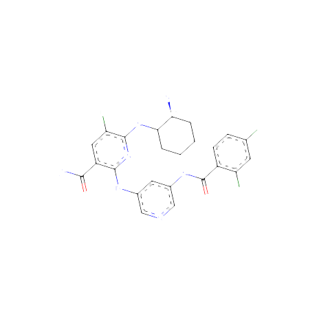 NC(=O)c1cc(F)c(NC2CCCC[C@@H]2N)nc1Nc1cncc(NC(=O)c2ccc(Cl)cc2Cl)c1